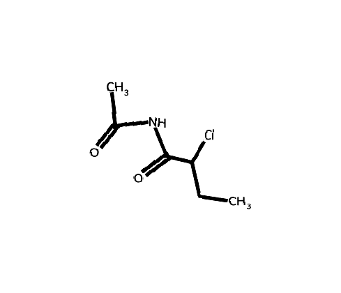 CCC(Cl)C(=O)NC(C)=O